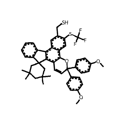 COc1ccc(C2(c3ccc(OC)cc3)C=Cc3c4c(c5cc(CS)c(SC(F)(F)F)cc5c3O2)-c2ccccc2C42CC(C)(C)CC(C)(C)C2)cc1